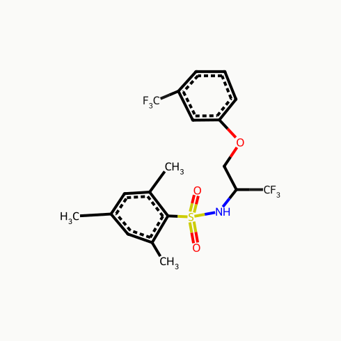 Cc1cc(C)c(S(=O)(=O)NC(COc2cccc(C(F)(F)F)c2)C(F)(F)F)c(C)c1